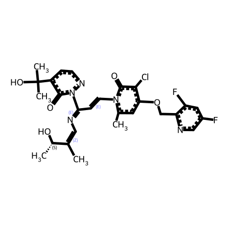 C/C(=C/N=C(\C=C\n1c(C)cc(OCc2ncc(F)cc2F)c(Cl)c1=O)n1nccc(C(C)(C)O)c1=O)[C@H](C)O